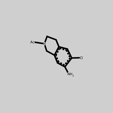 CC(=O)N1CCc2cc(Cl)c(N)cc2C1